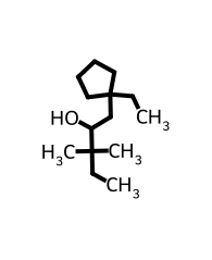 CCC1(CC(O)C(C)(C)CC)CCCC1